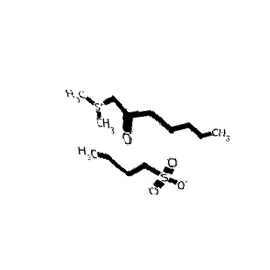 CCCCCC(=O)C[S+](C)C.CCCCS(=O)(=O)[O-]